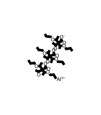 CCCOC(C)C(C(C)=O)(C(=O)[O-])C(C)OCCC.CCCOC(C)C(C(C)=O)(C(=O)[O-])C(C)OCCC.CCCOC(C)C(C(C)=O)(C(=O)[O-])C(C)OCCC.[Al+3]